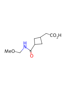 COCNC(=O)C1CC(CC(=O)O)C1